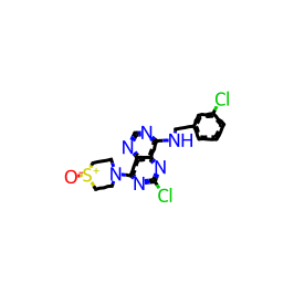 [O-][S+]1CCN(c2nc(Cl)nc3c(NCc4cccc(Cl)c4)ncnc23)CC1